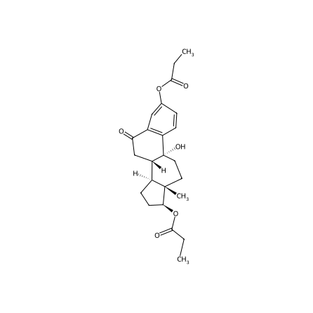 CCC(=O)Oc1ccc2c(c1)C(=O)C[C@H]1[C@@H]3CC[C@H](OC(=O)CC)[C@@]3(C)CC[C@]21O